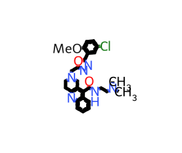 COc1ccc(Cl)cc1-c1nnc(CN2CCc3nc4ccccc4c(C(=O)NCCN(C)C)c3C2)o1